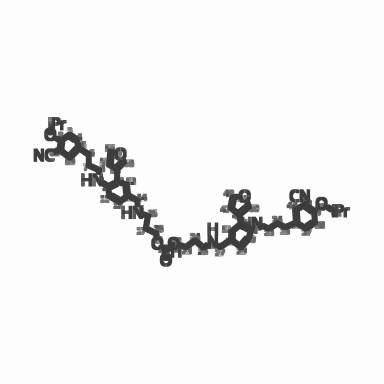 CC(C)Oc1ccc(CCCNc2ccc(CNCCCO[PH](=O)OCCCNCc3ccc(NCCCc4ccc(OC(C)C)c(C#N)c4)c(-c4ccoc4)c3)cc2-c2ccoc2)cc1C#N